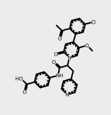 COc1cn(C(Cc2ccncc2)C(=O)Nc2ccc(C(=O)O)cc2)c(=O)cc1-c1cc(Cl)ccc1C(C)=O